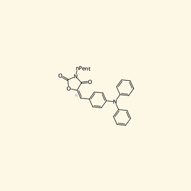 CCCCCN1C(=O)O/C(=C/c2ccc(N(c3ccccc3)c3ccccc3)cc2)C1=O